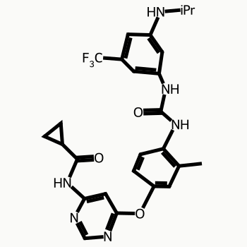 Cc1cc(Oc2cc(NC(=O)C3CC3)ncn2)ccc1NC(=O)Nc1cc(NC(C)C)cc(C(F)(F)F)c1